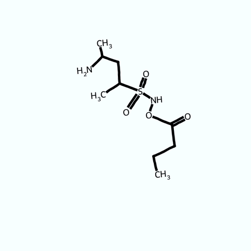 CCCC(=O)ONS(=O)(=O)C(C)CC(C)N